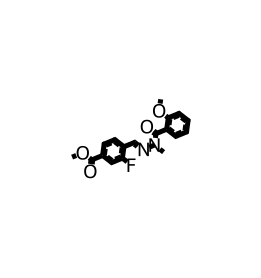 COC(=O)c1ccc(/C=N/N(C)C(=O)c2ccccc2OC)c(F)c1